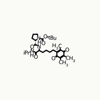 CC1=C(C)C(=O)C(CCCCC(NC(=O)[C@@H]2CCCN2C(=O)OC(C)(C)C)C(=O)NC(C)C)=C(C)C1=O